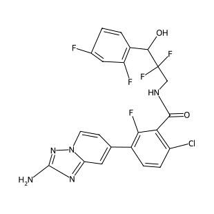 Nc1nc2cc(-c3ccc(Cl)c(C(=O)NCC(F)(F)C(O)c4ccc(F)cc4F)c3F)ccn2n1